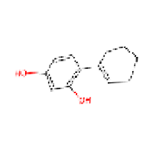 Oc1ccc(C2=CCCCC2)c(O)c1